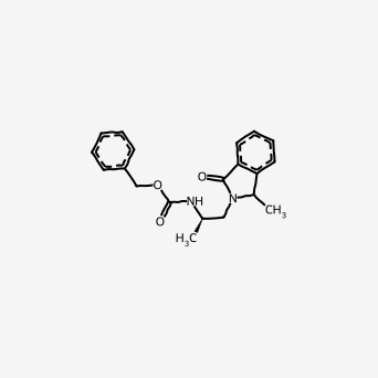 CC1c2ccccc2C(=O)N1C[C@@H](C)NC(=O)OCc1ccccc1